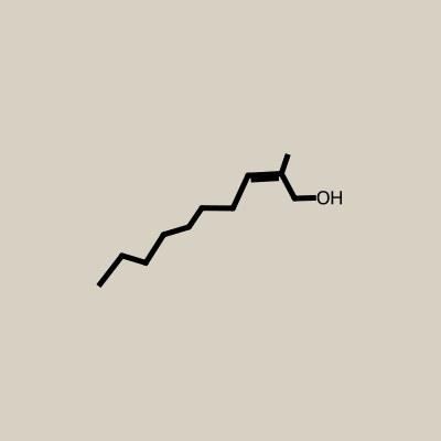 CCCCCCCC=C(C)CO